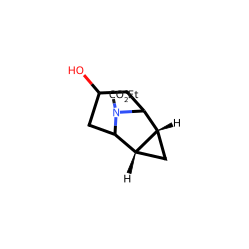 CCOC(=O)N1C2CC(O)CC1[C@@H]1C[C@H]21